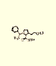 COC(=O)[C@@H]1C(CCC=O)CCN1[C@@H](C)c1ccccc1